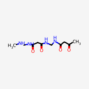 CNCNC(=O)CC(=O)NCNC(=O)CC(C)=O